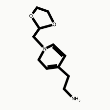 NCCC1=CCN(CC2OCCO2)C=C1